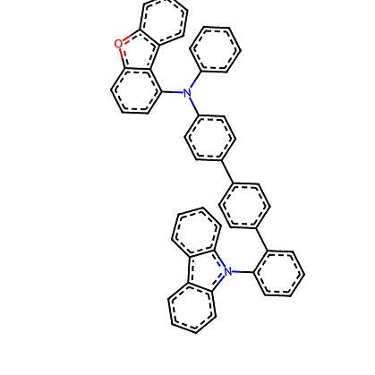 c1ccc(N(c2ccc(-c3ccc(-c4ccccc4-n4c5ccccc5c5ccccc54)cc3)cc2)c2cccc3oc4ccccc4c23)cc1